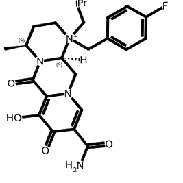 CC(C)C[N+]1(Cc2ccc(F)cc2)CC[C@H](C)N2C(=O)c3c(O)c(=O)c(C(N)=O)cn3C[C@@H]21